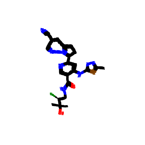 Cc1nnc(Nc2cc(-c3ccc4cc(C#N)cnn34)ncc2C(=O)NC[C@@H](F)C(C)(C)O)s1